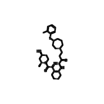 Cc1ccccc1SC1CCCC(CCC(=O)CNC2=C(C(=N)C(=O)N3CC[C@H](O)C[C@@H]3C)CCCC2)CC1